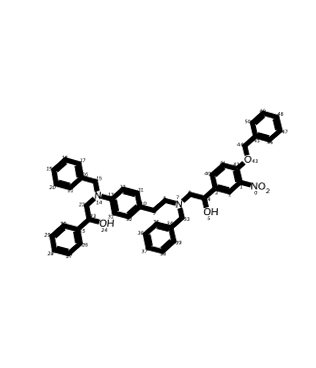 O=[N+]([O-])c1cc(C(O)CN(CCc2ccc(N(Cc3ccccc3)CC(O)c3ccccc3)cc2)Cc2ccccc2)ccc1OCc1ccccc1